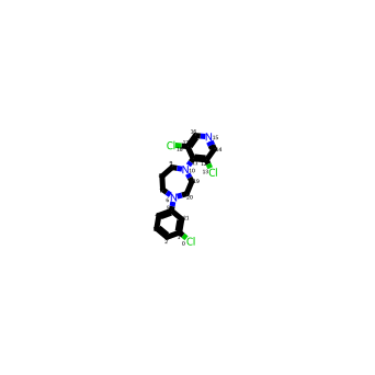 Clc1cccc(N2CCCN(c3c(Cl)cncc3Cl)CC2)c1